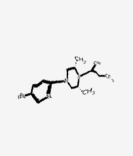 C[C@@H]1CN(c2ccc(C(C)(C)C)cn2)C[C@H](C)N1C(O)CC(F)(F)F